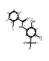 O=C(Nc1cc(C(F)(F)F)c(Cl)cc1O)c1nccnc1F